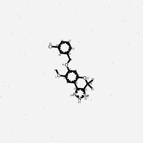 COc1cc2c(cc1OCc1cccc(Cl)c1)OC(C)(C)c1[se]nnc1-2